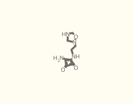 Nc1c(NCCN2CNCO2)c(=O)c1=O